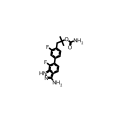 CC(C)(Cc1ccc(-c2ccc3c(N)n[nH]c3c2F)cc1F)OC(N)=O